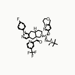 CC(C)(C)[Si](C)(C)N=S(Oc1cc2n(n1)CCOC2)N1CC[C@H]2Cc3c(cnn3-c3ccc(F)cc3)C[C@]2(C(=O)c2cc(C(F)(F)F)ccn2)C1